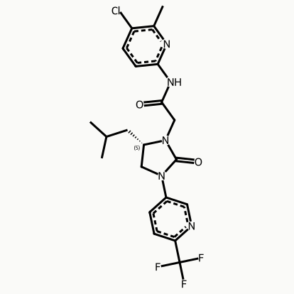 Cc1nc(NC(=O)CN2C(=O)N(c3ccc(C(F)(F)F)nc3)C[C@@H]2CC(C)C)ccc1Cl